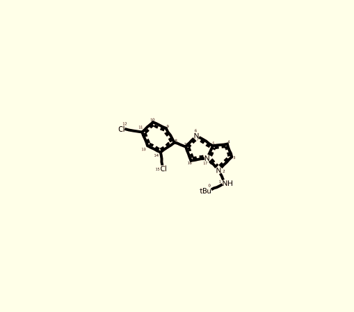 CC(C)(C)Nn1ccc2nc(-c3ccc(Cl)cc3Cl)cn21